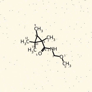 COCNC(=O)C1(C)C(C)C1(C)C